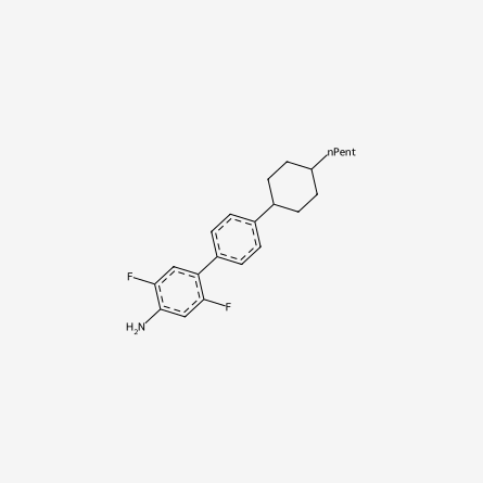 CCCCCC1CCC(c2ccc(-c3cc(F)c(N)cc3F)cc2)CC1